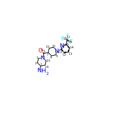 NC1CCN(C(=O)C2CCN(c3cccc(C(F)(F)F)n3)CC2)CC1